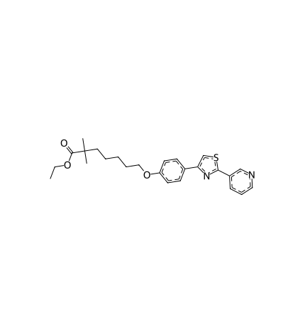 CCOC(=O)C(C)(C)CCCCCOc1ccc(-c2csc(-c3cccnc3)n2)cc1